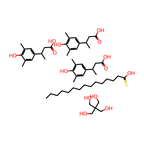 CCCCCCCCCCCCCCC(O)=S.Cc1cc(C(C)CC(=O)O)cc(C)c1O.Cc1cc(C(C)CC(=O)O)cc(C)c1O.Cc1cc(C(C)CC(=O)O)cc(C)c1O.OCC(CO)(CO)CO